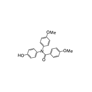 COc1ccc(C(=O)N(c2ccc(O)cc2)c2ccc(OC)cc2)cc1